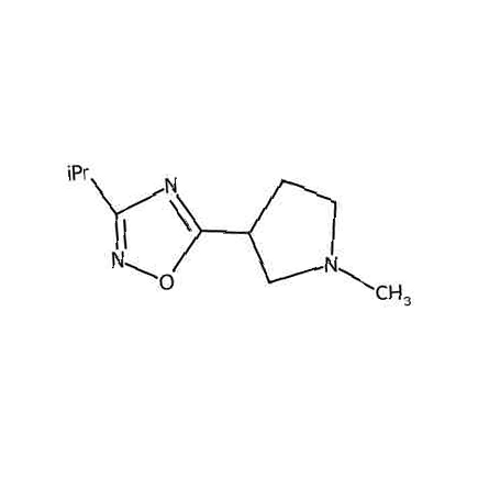 CC(C)c1noc(C2CCN(C)C2)n1